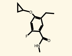 CCc1cc(C(=O)NC)c(F)cc1OC1CC1